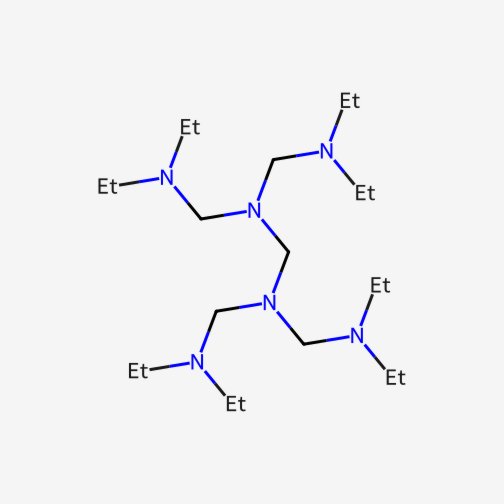 CCN(CC)CN(CN(CC)CC)CN(CN(CC)CC)CN(CC)CC